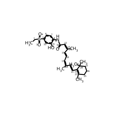 CCS(=O)(=O)c1ccc(NC(=O)C=C(C)C=CC=C(C)C=CC2=C(C)CCCC2(C)C)c(O)c1